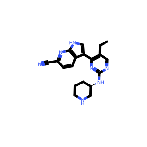 CCc1cnc(N[C@H]2CCCNC2)nc1-c1c[nH]c2nc(C#N)ccc12